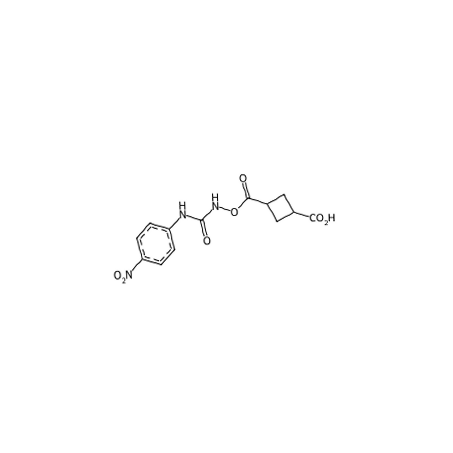 O=C(NOC(=O)C1CC(C(=O)O)C1)Nc1ccc([N+](=O)[O-])cc1